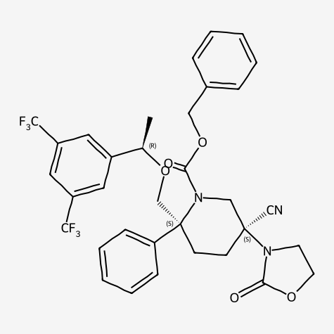 C[C@@H](OC[C@@]1(c2ccccc2)CC[C@](C#N)(N2CCOC2=O)CN1C(=O)OCc1ccccc1)c1cc(C(F)(F)F)cc(C(F)(F)F)c1